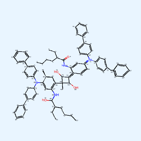 CCCCC(CC)C(=O)NC1=CC(=[N+](c2ccc(-c3ccccc3)cc2)c2ccc(-c3ccccc3)cc2)C=CC1=C1C(O)C(C)(C2=C(NC(O)C(CC)CCCC)C=C(N(c3ccc(-c4ccccc4)cc3)C3C=CC(c4ccccc4)=CC3)[C@@H](C)C2)C1O